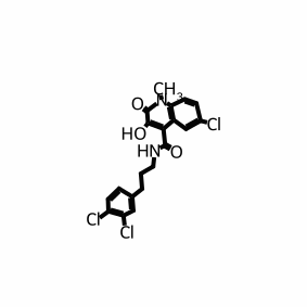 Cn1c(=O)c(O)c(C(=O)NCCCc2ccc(Cl)c(Cl)c2)c2cc(Cl)ccc21